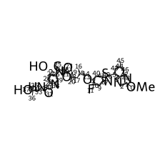 COc1cnc2c(-c3nc4cc(F)c(OCC(C)CC(C)(C)OC(=O)N(C(=O)O)c5ccc(C(=O)NCC(C)(C)O)nc5)cc4s3)cc(C)cc2n1